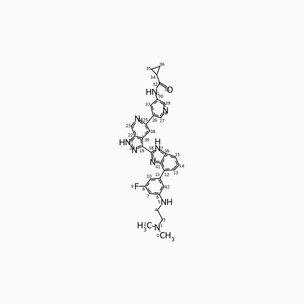 CN(C)CCNc1cc(F)cc(-c2cccc3[nH]c(-c4n[nH]c5cnc(-c6cncc(NC(=O)C7CC7)c6)cc45)nc23)c1